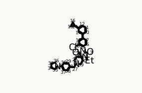 CCN1C(=O)N(c2ccc(-c3cccc(C4CC4)c3)cc2Cl)C(=O)C12CCN(Cc1ccc(N3CCCC3)cc1)CC2